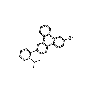 CC(C)c1ccccc1-c1ccc2c3ccc(Br)cc3c3ccccc3c2c1